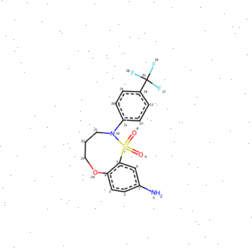 Nc1ccc2c(c1)S(=O)(=O)N(c1ccc(C(F)(F)F)cc1)CCCO2